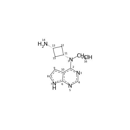 CN(c1ncnc2[nH]ccc12)[C@H]1C[C@@H](N)C1.Cl